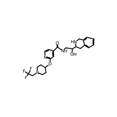 O=C(NCC(O)C1Cc2ccccc2CN1)c1ccnc(OC2CCN(CC(F)(F)F)CC2)c1